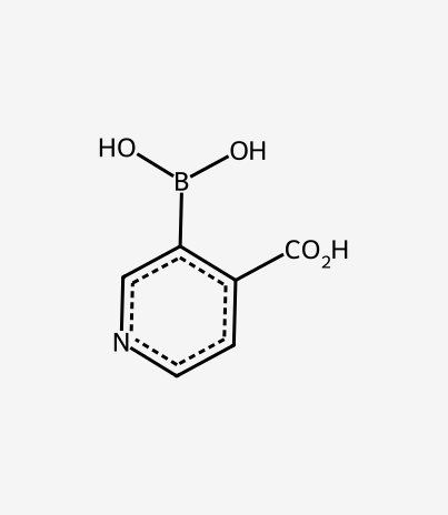 O=C(O)c1ccncc1B(O)O